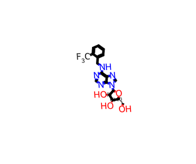 OC[C@H]1OC(n2cnc3c(NCc4ccccc4C(F)(F)F)ncnc32)[C@H](O)[C@@H]1O